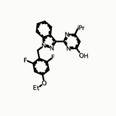 CCOc1cc(F)c(Cn2nc(-c3nc(O)cc(C(C)C)n3)c3ccccc32)c(F)c1